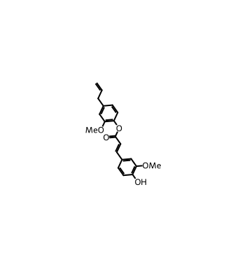 C=CCc1ccc(OC(=O)C=Cc2ccc(O)c(OC)c2)c(OC)c1